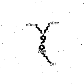 CCCCCCCCCCCCCCCCN(CCCCCCCCCCCCCCCC)c1ccc(C=Cc2ccc(S(=O)(=O)CCCCCCCCO)cc2)cc1